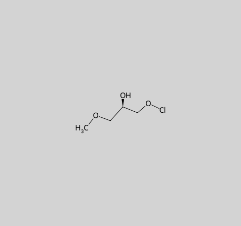 COC[C@@H](O)COCl